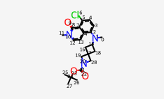 CN(c1ccc(Cl)c2c(=O)n(C)ccc12)C1CC2(C1)CN(C(=O)OC(C)(C)C)C2